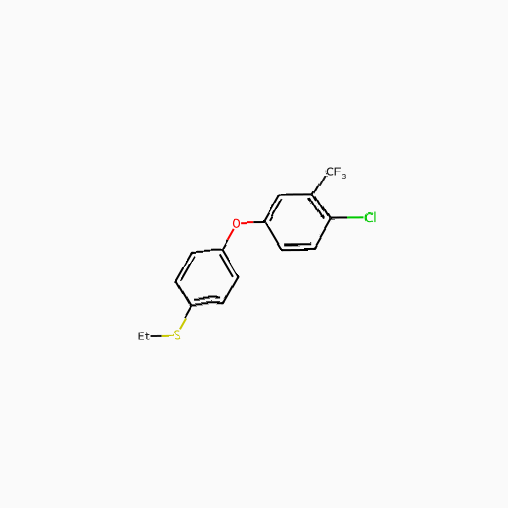 CCSc1ccc(Oc2ccc(Cl)c(C(F)(F)F)c2)cc1